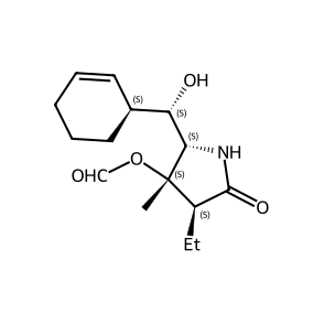 CC[C@@H]1C(=O)N[C@@H]([C@@H](O)[C@@H]2C=CCCC2)[C@@]1(C)OC=O